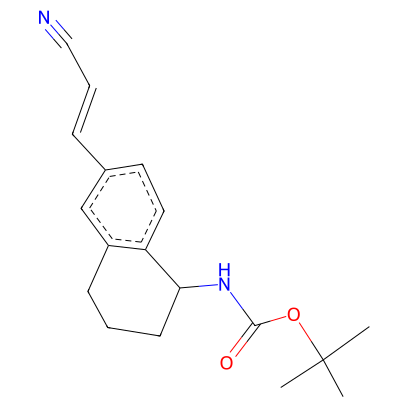 CC(C)(C)OC(=O)NC1CCCc2cc(/C=C/C#N)ccc21